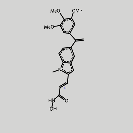 C=C(c1cc(OC)c(OC)c(OC)c1)c1ccc2c(c1)cc(/C=C/C(=O)NO)n2C